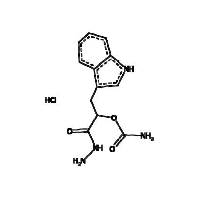 Cl.NNC(=O)C(Cc1c[nH]c2ccccc12)OC(N)=O